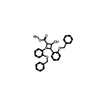 CC(C)(C)OC(=O)C1C(O)C(c2ccccc2OCc2ccccc2)N1c1ccccc1OCc1ccccc1